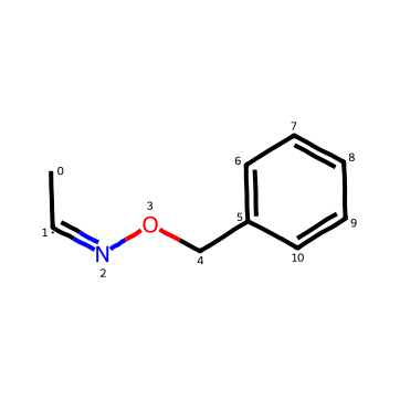 C/[C]=N\OCc1ccccc1